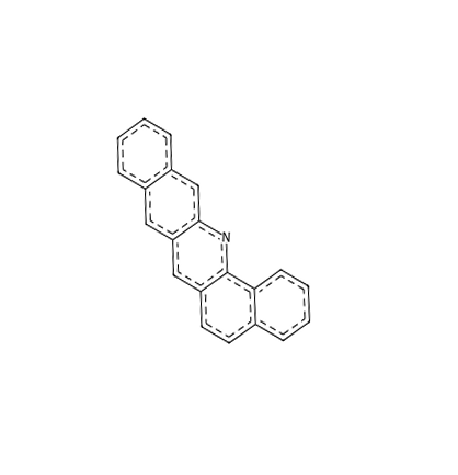 c1ccc2cc3nc4c(ccc5ccccc54)cc3cc2c1